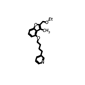 CCOCc1oc2cccc(OCCCCc3cccnc3)c2c1C